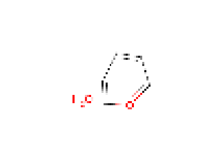 O.c1cc[o+]cc1